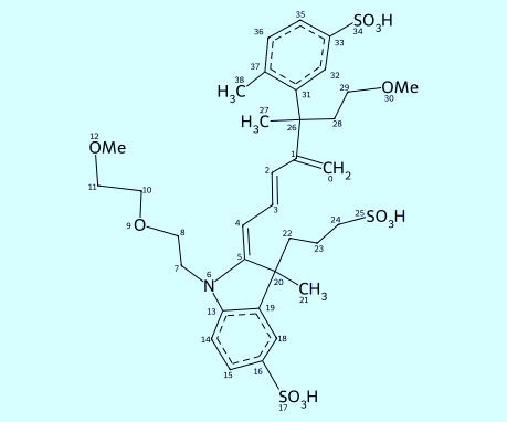 C=C(/C=C/C=C1/N(CCOCCOC)c2ccc(S(=O)(=O)O)cc2C1(C)CCCS(=O)(=O)O)C(C)(CCOC)c1cc(S(=O)(=O)O)ccc1C